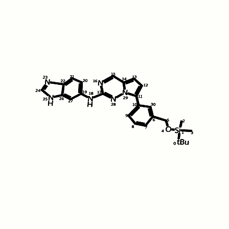 CC(C)(C)[Si](C)(C)OCc1cccc(-c2ccc3cnc(Nc4ccc5nc[nH]c5c4)nn23)c1